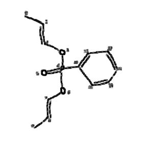 CC=COP(=O)(OC=CC)c1ccccc1